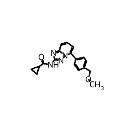 COCc1ccc(-c2cccc3nc(NC(=O)C4CC4)nn23)cc1